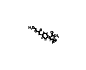 CCOC(=O)C[C@H]1CC[C@H](N(CC(F)(F)F)C(C)=O)CC1